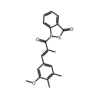 COc1cc(/C=C(\C)C(=O)n2sc(=O)c3ccccc32)cc(C)c1C